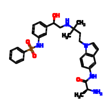 C[C@H](N)C(=O)Nc1ccc2c(ccn2CCC(C)(C)NC[C@H](O)c2cccc(NS(=O)(=O)c3ccccc3)c2)c1